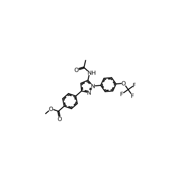 COC(=O)c1ccc(-c2cc(NC(C)=O)n(-c3ccc(OC(F)(F)F)cc3)n2)cc1